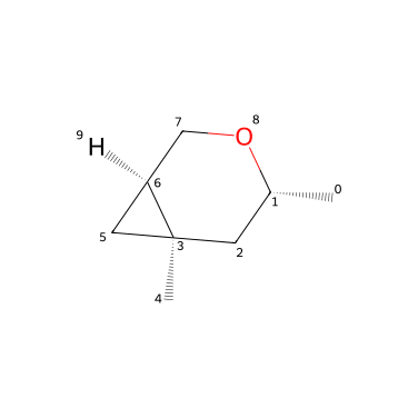 C[C@@H]1C[C@@]2(C)C[C@H]2CO1